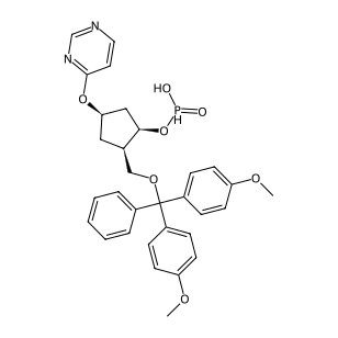 COc1ccc(C(OC[C@H]2C[C@@H](Oc3ccncn3)C[C@H]2O[PH](=O)O)(c2ccccc2)c2ccc(OC)cc2)cc1